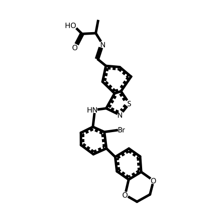 CC(N=Cc1ccc2snc(Nc3cccc(-c4ccc5c(c4)OCCO5)c3Br)c2c1)C(=O)O